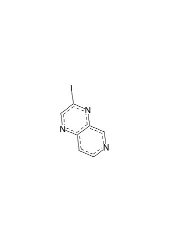 Ic1cnc2ccncc2n1